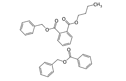 CCCCOC(=O)c1ccccc1C(=O)OCc1ccccc1.O=C(OCc1ccccc1)c1ccccc1